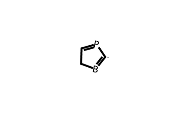 B1=[C]P=CC1